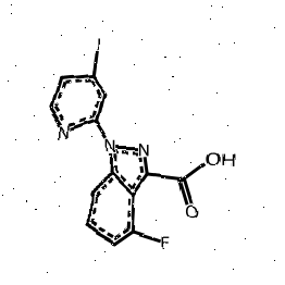 O=C(O)c1nn(-c2cc(I)ccn2)c2cccc(F)c12